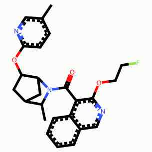 Cc1ccc(OC2CC3CC2N(C(=O)c2c(OCCF)ncc4ccccc24)C3C)nc1